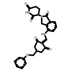 O=C1CCC(N2Cc3c(NC=C4C(=O)CC(COc5ccccc5)CC4=O)cccc3C2=O)C(=O)N1